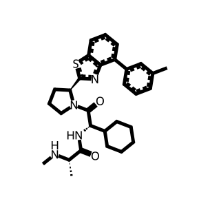 CN[C@@H](C)C(=O)N[C@H](C(=O)N1CCC[C@H]1c1nc2c(-c3cccc(C)c3)cccc2s1)C1CCCCC1